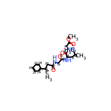 COC(=O)CNC(=O)C(CC(C)C)NC(=O)CNC(=O)CC(C)c1ccccc1